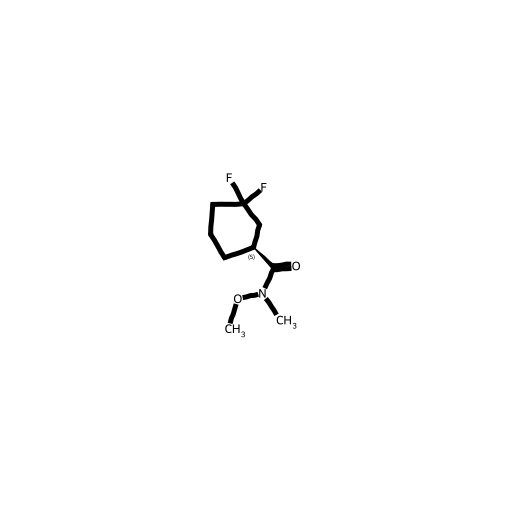 CON(C)C(=O)[C@H]1CCCC(F)(F)C1